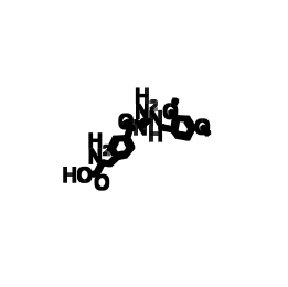 COc1ccc(CNC(N)=NC(=O)c2ccc(CC(N)C(=O)O)cc2)c(OC)c1